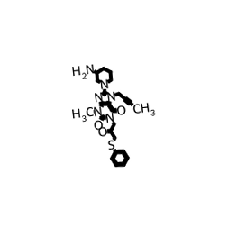 CC#CCn1c(N2CCCC(N)C2)nc2c1c(=O)n(CC(=O)CSc1ccccc1)c(=O)n2C